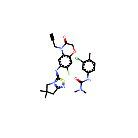 C#CCN1C(=O)COc2cc(F)c(/N=c3\snc4n3CC(C)(C)C4)cc21.Cc1ccc(NC(=O)N(C)C)cc1Cl